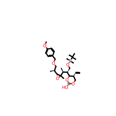 C=C[C@H]1COB(O)O[C@H]1[C@H](CO[Si](C)(C)C(C)(C)C)[C@H](C)C1(C)O[C@@H]1[C@@H](C)COCc1ccc(OC)cc1